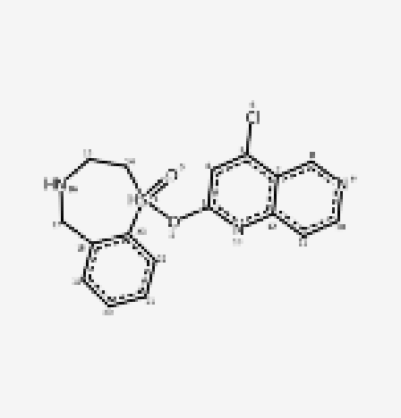 O=[SH]1(Oc2cc(Cl)c3cnccc3n2)CCNCc2ccccc21